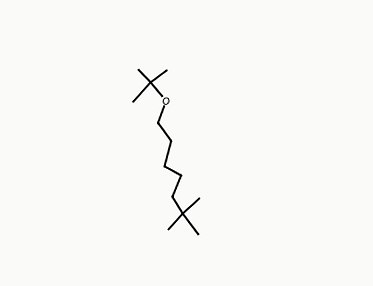 CC(C)(C)CCCCCOC(C)(C)C